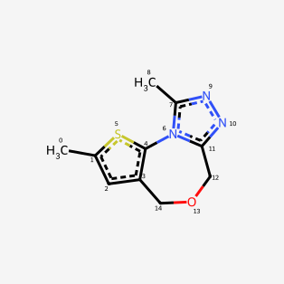 Cc1cc2c(s1)-n1c(C)nnc1COC2